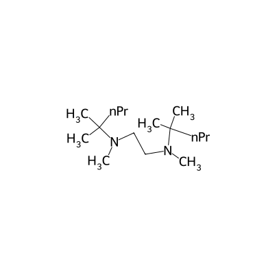 CCCC(C)(C)N(C)CCN(C)C(C)(C)CCC